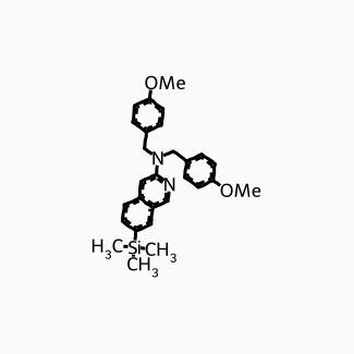 COc1ccc(CN(Cc2ccc(OC)cc2)c2cc3ccc([Si](C)(C)C)cc3cn2)cc1